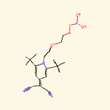 CC(C)(C)C1=CC(=C(C#N)C#N)C=C(C(C)(C)C)N1CCOCCOOP(O)O